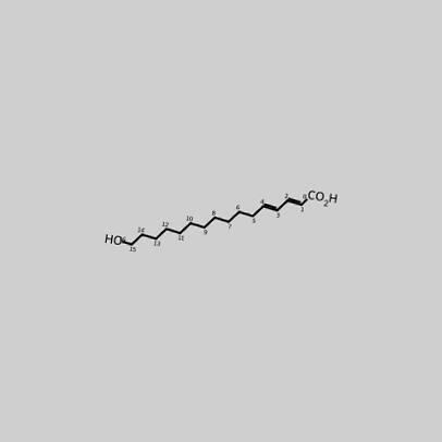 O=C(O)C=CC=CCCCCCCCCCCCO